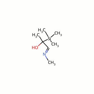 CN=CC(C)(O)[Si](C)(C)C